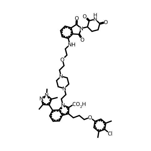 Cc1cc(OCCCc2c(C(=O)O)n(CCN3CCN(CCOCCNc4cccc5c4C(=O)N(C4CCC(=O)NC4=O)C5=O)CC3)c3c(-c4c(C)nn(C)c4C)cccc23)cc(C)c1Cl